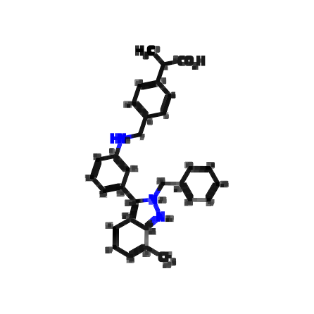 CC(C(=O)O)c1ccc(CNc2cccc(-c3c4cccc(C(F)(F)F)c4nn3Cc3ccccc3)c2)cc1